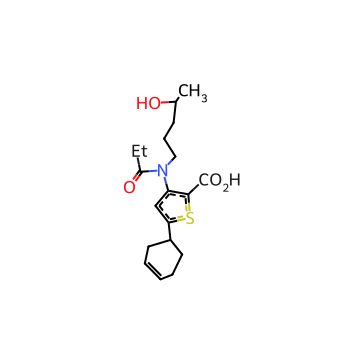 CCC(=O)N(CCCC(C)O)c1cc(C2CC=CCC2)sc1C(=O)O